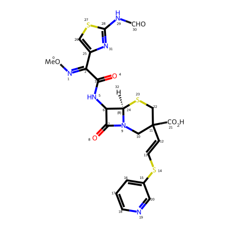 CON=C(C(=O)NC1C(=O)N2CC(C=CSc3cccnc3)(C(=O)O)CS[C@H]12)c1csc(NC=O)n1